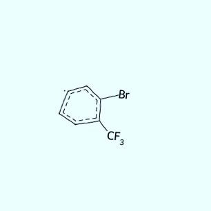 FC(F)(F)c1cc[c]cc1Br